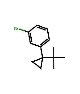 CC(C)(C)C1(c2cccc(Br)c2)CC1